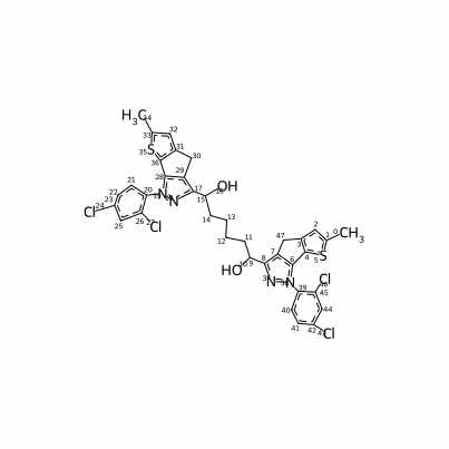 Cc1cc2c(s1)-c1c(c(C(O)CCCCC(O)c3nn(-c4ccc(Cl)cc4Cl)c4c3Cc3cc(C)sc3-4)nn1-c1ccc(Cl)cc1Cl)C2